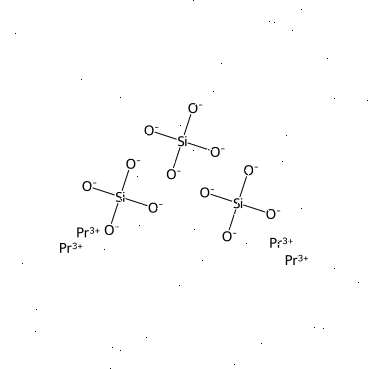 [O-][Si]([O-])([O-])[O-].[O-][Si]([O-])([O-])[O-].[O-][Si]([O-])([O-])[O-].[Pr+3].[Pr+3].[Pr+3].[Pr+3]